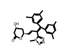 Cc1cc(C)cc(C(=C(/C=C/[C@@H]2C[C@@H](O)CC(=O)O2)c2nnnn2C)c2cc(C)cc(C)c2)c1